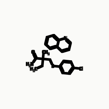 CCC(C)(CSc1ccc(Cl)cc1)C(N)=O.c1ccc2ncccc2c1